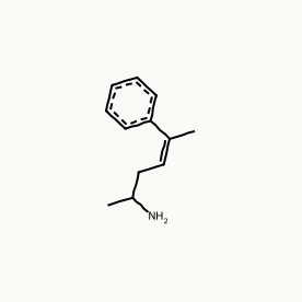 C/C(=C/CC(C)N)c1ccccc1